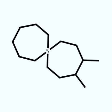 CC1CCS2(CCCCCC2)CCC1C